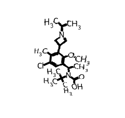 COc1c(C(C)N(C(=O)O)C(C)(C)C)cc(Cl)c(C)c1C1CN(C(C)C)C1